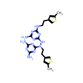 Cc1cc(CCNc2nc(N)nc(NN(CCc3csc(C)c3)c3nc(N)nc(N)n3)n2)cs1